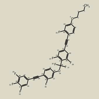 CCCCOc1ccc(C#Cc2cc(F)c(C(F)(F)Oc3ccc(C#Cc4cc(F)c(F)c(F)c4)c(F)c3)c(F)c2)c(F)c1